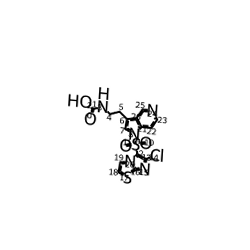 O=C(O)NCCc1cn(S(=O)(=O)c2c(Cl)nc3sccn23)c2ccncc12